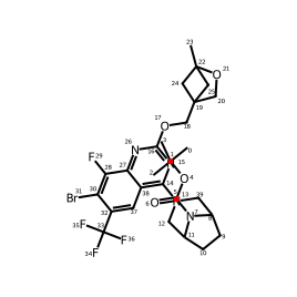 CC(C)(C)OC(=O)N1C2CCC1CN(c1nc(OCC34COC(C)(C3)C4)nc3c(F)c(Br)c(C(F)(F)F)cc13)C2